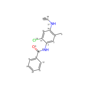 Cc1cc(NC(=O)c2ccccc2)c(Cl)cc1NC(C)(C)C